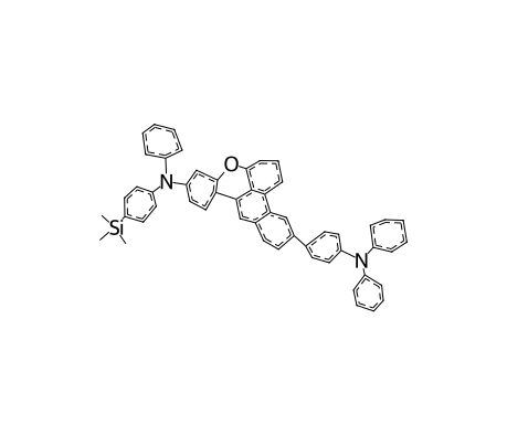 C[Si](C)(C)c1ccc(N(c2ccccc2)c2ccc3c(c2)Oc2cccc4c2c-3cc2ccc(-c3ccc(N(c5ccccc5)c5ccccc5)cc3)cc24)cc1